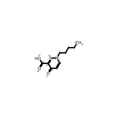 CCCCCn1ccc(=O)c(C(=O)O)n1